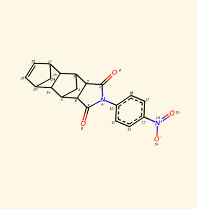 O=C1C2C3CC(C2C(=O)N1c1ccc([N+](=O)[O-])cc1)C1C2C=CC(C2)C31